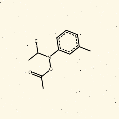 CC(=O)ON(c1cccc(C)c1)C(C)Cl